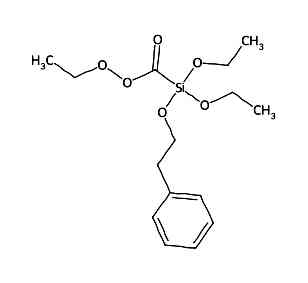 CCOOC(=O)[Si](OCC)(OCC)OCCc1ccccc1